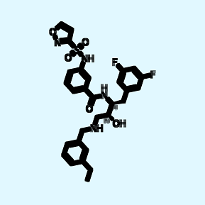 CCc1cccc(CNC[C@H](O)[C@H](Cc2cc(F)cc(F)c2)NC(=O)c2cccc(NS(=O)(=O)c3ccon3)c2)c1